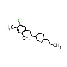 CCCC1CCC(CCc2cc(Cl)c(C)cc2C)CC1